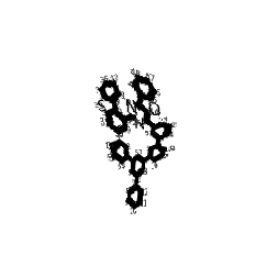 c1ccc(-c2cc(-c3ccccc3)cc(-c3cccc(-c4cccc(-c5nc(-c6cccc7sc8ccccc8c67)nc6c5oc5ccccc56)c4)c3)c2)cc1